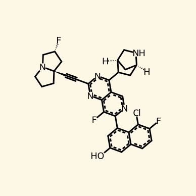 Oc1cc(-c2ncc3c(C4C[C@H]5C[C@@H]4CN5)nc(C#C[C@@]45CCCN4C[C@H](F)C5)nc3c2F)c2c(Cl)c(F)ccc2c1